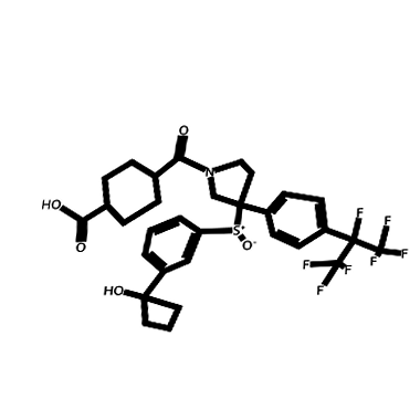 O=C(O)C1CCC(C(=O)N2CCC(c3ccc(C(F)(C(F)(F)F)C(F)(F)F)cc3)([S+]([O-])c3cccc(C4(O)CCC4)c3)C2)CC1